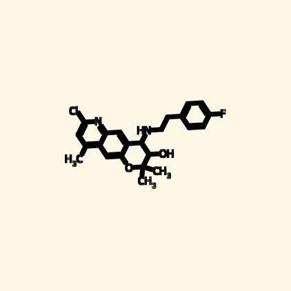 Cc1cc(Cl)nc2cc3c(cc12)OC(C)(C)C(O)C3NCCc1ccc(F)cc1